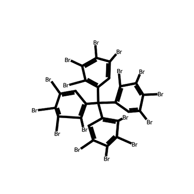 Brc1cc(C(c2cc(Br)c(Br)c(Br)c2Br)(c2cc(Br)c(Br)c(Br)c2Br)c2cc(Br)c(Br)c(Br)c2Br)c(Br)c(Br)c1Br